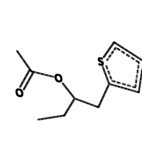 CCC(Cc1cccs1)OC(C)=O